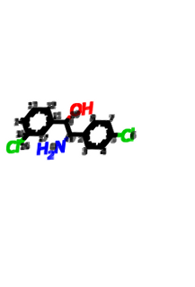 N[C@@H](c1ccc(Cl)cc1)C(O)c1cccc(Cl)c1